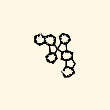 c1cnc2c(c1)Cc1cc3c(cc1-2)C1(c2ccccc2-3)c2ccccc2-c2c1ccc1ncccc21